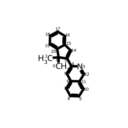 CC1(C)C(c2cc3ccccc3cn2)=Cc2ccccc21